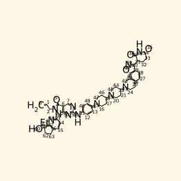 C=CCn1c(=O)c2cnc(Nc3ccc(N4CCC(N5CCC(N6CCc7ccc8c(C9CCC(=O)NC9=O)noc8c7C6)CC5)CC4)cc3)nc2n1-c1ccc2c(n1)[C@@](O)(CC)CC2